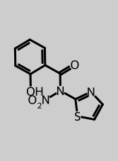 O=C(c1ccccc1O)N(c1nccs1)[N+](=O)[O-]